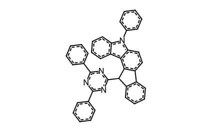 c1ccc(-c2nc(-c3ccccc3)nc(C3c4ccccc4-c4ccc5c(c43)c3ccccc3n5-c3ccccc3)n2)cc1